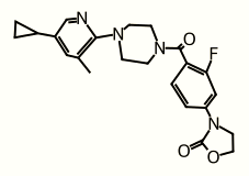 Cc1cc(C2CC2)cnc1N1CCN(C(=O)c2ccc(N3CCOC3=O)cc2F)CC1